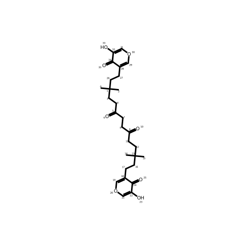 CC(C)(CCC(=O)CCC(=O)CCC(C)(C)CCc1cocc(O)c1=O)CCc1cocc(O)c1=O